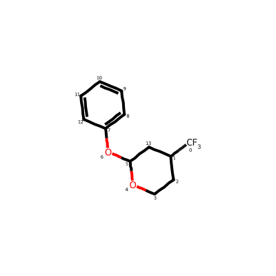 FC(F)(F)C1CCOC(Oc2ccccc2)C1